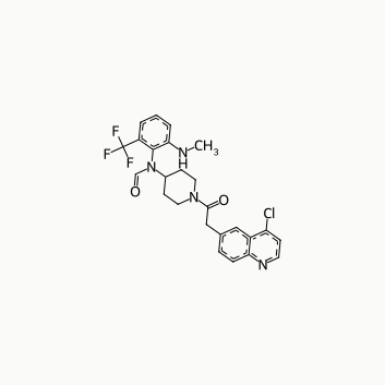 CNc1cccc(C(F)(F)F)c1N(C=O)C1CCN(C(=O)Cc2ccc3nccc(Cl)c3c2)CC1